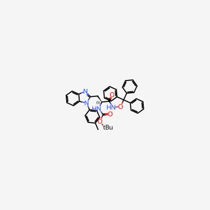 Cc1ccc(-n2c(C[C@H](NC(=O)OC(C)(C)C)C(=O)NOC(c3ccccc3)(c3ccccc3)c3ccccc3)nc3ccccc32)cc1